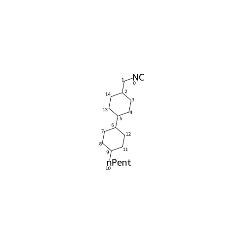 [C-]#[N+]CC1CCC(C2CCC(CCCCC)CC2)CC1